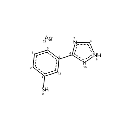 Sc1cccc(-c2nc[nH]n2)c1.[Ag]